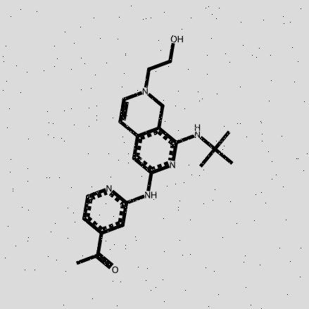 CC(=O)c1ccnc(Nc2cc3c(c(NC(C)(C)C)n2)CN(CCO)C=C3)c1